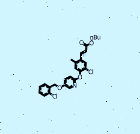 CCCCOC(=O)/C=C/c1cc(Cl)c(Oc2ccc(OCc3ccccc3Cl)cn2)cc1C